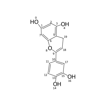 Oc1cc(O)c2c(c1)OC(c1ccc(O)c(O)c1)=CC2